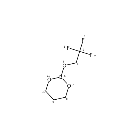 FC(F)(F)COB1OCCCO1